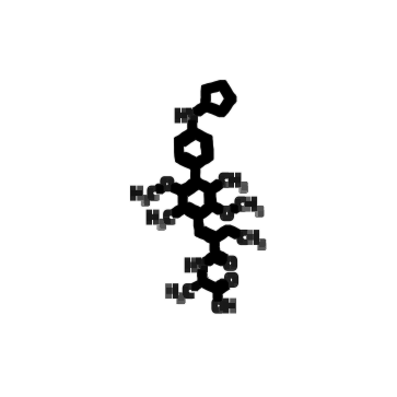 CC/C(=C\c1c(C)c(OC)c(-c2ccc(NC3CCCC3)cc2)c(C)c1OC)C(=O)N[C@H](C)C(=O)O